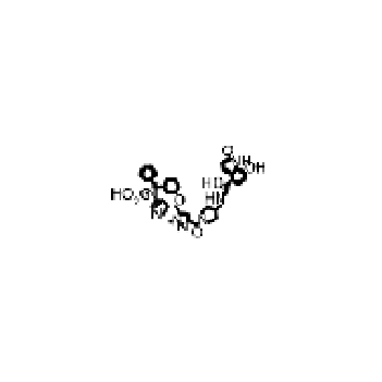 Cn1nc(C(=O)N2CCC(CNC[C@H](O)c3ccc(O)c4[nH]c(=O)ccc34)CC2)cc1COc1cccc([C@H](c2ccccc2)N(C(=O)O)C2CN3CCC2CC3)c1